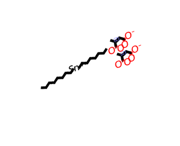 C/C(=C/C(=O)[O-])C(=O)[O-].C/C(=C/C(=O)[O-])C(=O)[O-].CCCCCCC[CH2][Sn+4][CH2]CCCCCCC